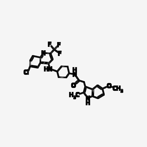 COc1ccc2[nH]c(C)c(CC(=O)NC3CCC(Nc4cc(C(F)(F)F)nc5ccc(Cl)cc45)CC3)c2c1